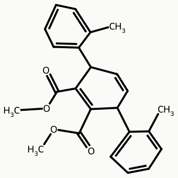 COC(=O)C1=C(C(=O)OC)C(c2ccccc2C)C=CC1c1ccccc1C